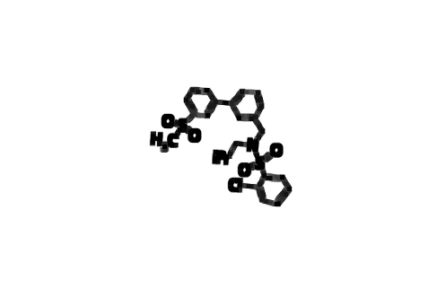 CC(C)CN(Cc1cccc(-c2cccc(S(C)(=O)=O)c2)c1)S(=O)(=O)c1ccccc1Cl